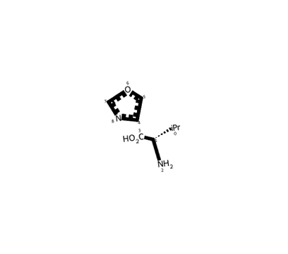 CC(C)[C@H](N)C(=O)O.c1cocn1